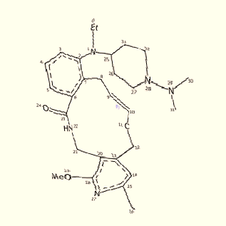 CCN(c1cccc2c1C/C=C/CCc1cc(C)nc(OC)c1CNC2=O)C1CCN(N(C)C)CC1